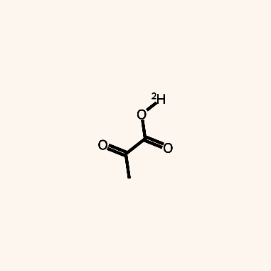 [2H]OC(=O)C(C)=O